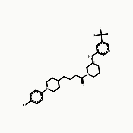 O=C(CCCC1CCN(c2ccc(Cl)cc2)CC1)N1CCC[C@H](Nc2cncc(C(F)(F)F)c2)C1